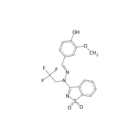 COc1cc(C=NN(CC(F)(F)F)C2=NS(=O)(=O)c3ccccc32)ccc1O